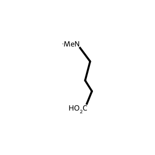 C[N]CCCC(=O)O